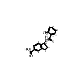 O=C(O)c1ccc2c(c1)CC[C@@H]2NC(=O)c1ccccc1Cl